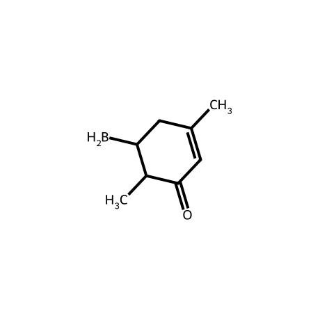 BC1CC(C)=CC(=O)C1C